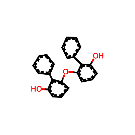 Oc1cccc(Oc2cccc(O)c2-c2ccccc2)c1-c1ccccc1